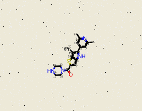 Cc1cc(-c2[nH]c3cc(C(=O)N4CCNCC4)sc3c2C(C)C)cc(C)n1